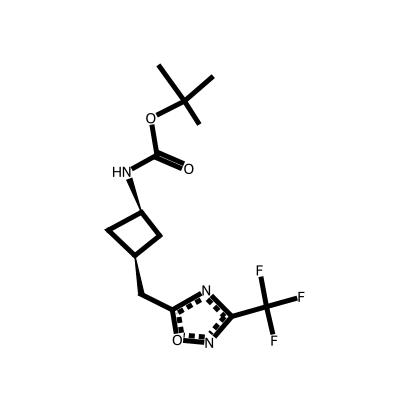 CC(C)(C)OC(=O)N[C@H]1C[C@@H](Cc2nc(C(F)(F)F)no2)C1